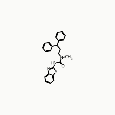 CN(CCC(c1ccccc1)c1ccccc1)C(=O)Nc1nc2ccccc2s1